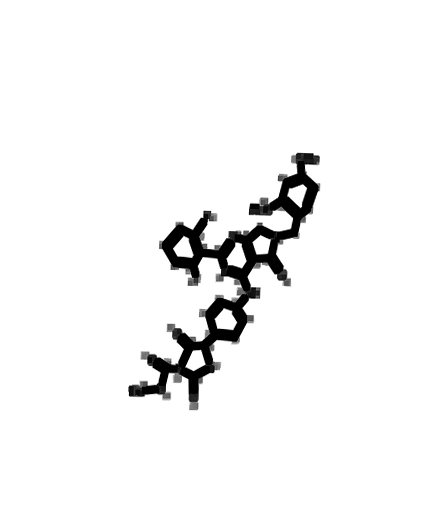 COc1ccc(CN2Cc3nc(-c4c(F)cccc4F)nc(Nc4ccc(C5SC(=O)N(C(=O)OC(C)(C)C)C5=O)cc4)c3C2=O)c(OC)c1